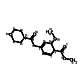 COC(=O)C1C=CC(CC(=O)N2CCOCC2)=CC1OC